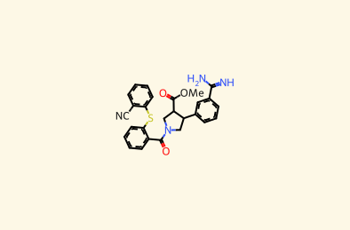 COC(=O)C1CN(C(=O)c2ccccc2Sc2ccccc2C#N)CC1c1cccc(C(=N)N)c1